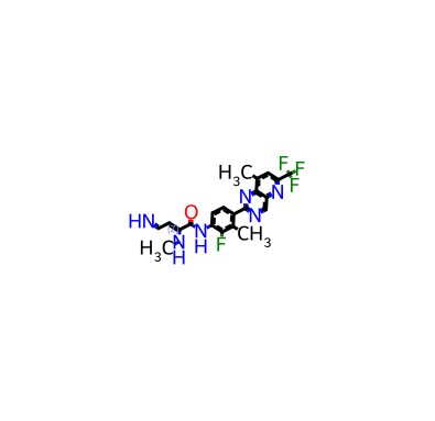 CN/C(=C\C=N)C(=O)Nc1ccc(-c2ncc3nc(C(F)(F)F)cc(C)c3n2)c(C)c1F